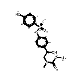 CN(CC(O)c1ccc(OS(=O)(=O)c2ccc(C#N)cc2)cc1)C(=O)OC(C)(C)C